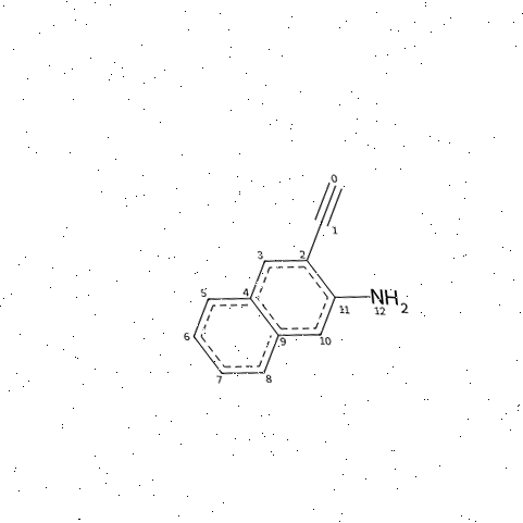 C#Cc1cc2ccccc2cc1N